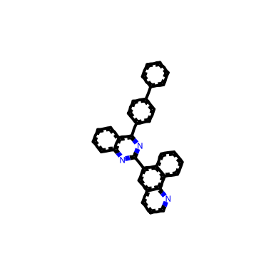 c1ccc(-c2ccc(-c3nc(-c4cc5cccnc5c5ccccc45)nc4ccccc34)cc2)cc1